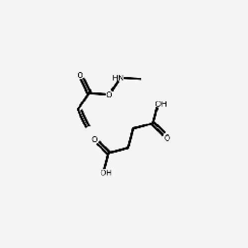 C=CC(=O)ONC.O=C(O)CCC(=O)O